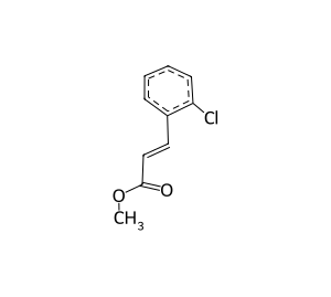 COC(=O)C=Cc1ccccc1Cl